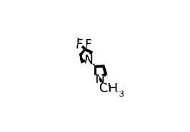 CN1CC[C@@H](N2CCC(F)(F)C2)C1